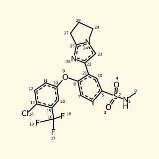 CNS(=O)(=O)c1ccc(Oc2ccc(Cl)c(C(F)(F)F)c2)c(-c2cn3c(n2)CCC3)c1